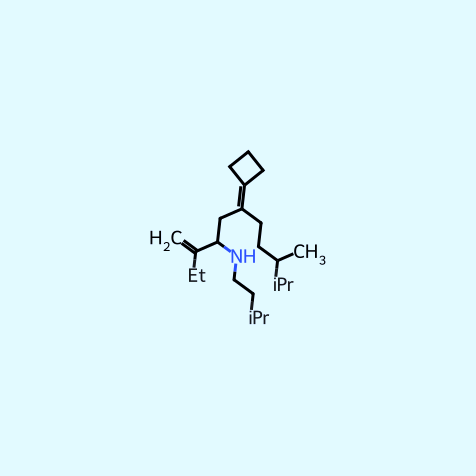 C=C(CC)C(CC(CCC(C)C(C)C)=C1CCC1)NCCC(C)C